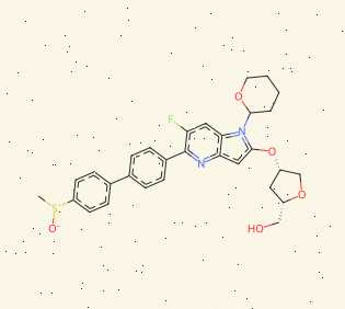 C[S+]([O-])c1ccc(-c2ccc(-c3nc4cc(O[C@@H]5CO[C@H](CO)C5)n(C5CCCCO5)c4cc3F)cc2)cc1